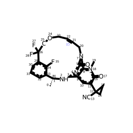 C[C@H]1Nc2nc(=O)n(c3c2cc(C2(C#N)CC2)c(=O)n3C)C/C=C\COCC(F)(F)c2cccc1c2F